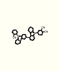 N#Cc1ccc(-n2c3ccccc3c3c(-c4ccc5c(c4)c4ccccc4n5-c4ccccc4C#N)cccc32)cc1C#N